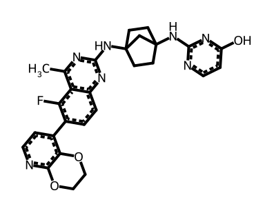 Cc1nc(NC23CCC(Nc4nccc(O)n4)(CC2)C3)nc2ccc(-c3ccnc4c3OCCO4)c(F)c12